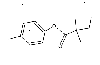 CCC(C)(C)C(=O)Oc1ccc(C)cc1